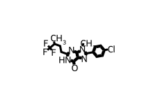 CC(CCc1nc2c(nc(-c3ccc(Cl)cc3)n2C)c(=O)[nH]1)C(F)(F)F